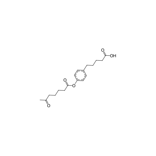 CC(=O)CCCCC(=O)Oc1ccc(CCCCC(=O)O)cc1